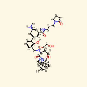 COc1c(CN2O[C@@H](CO)[C@@H]([C@H](C)O)[C@H]2C(=O)N[C@H]2C[C@H]3C[C@@H]([C@@H]2C)C3(C)C)cccc1-c1cc(C(=O)NCCCN2CCCC2=O)cc(N(C)C)c1